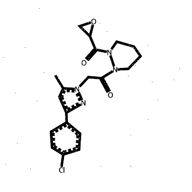 Cc1cc(-c2ccc(Cl)cc2)nn1CC(=O)N1CCCCN1C(=O)C1CO1